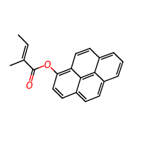 CC=C(C)C(=O)Oc1ccc2ccc3cccc4ccc1c2c34